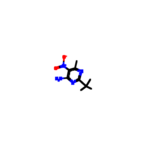 Cc1nc(C(C)(C)C)nc(N)c1[N+](=O)[O-]